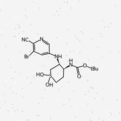 CC(C)(C)OC(=O)N[C@H]1CCS(O)(O)C[C@H]1Nc1cnc(C#N)c(Br)c1